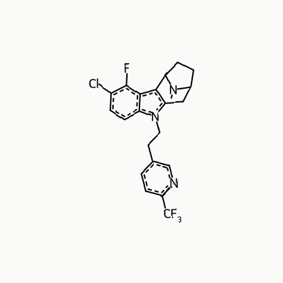 CN1C2CCC1c1c(n(CCc3ccc(C(F)(F)F)nc3)c3ccc(Cl)c(F)c13)C2